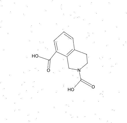 O=C(O)c1cccc2c1CN(C(=O)O)CC2